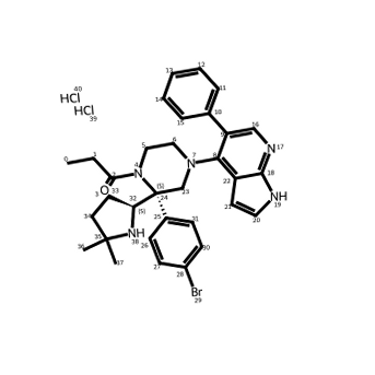 CCC(=O)N1CCN(c2c(-c3ccccc3)cnc3[nH]ccc23)C[C@@]1(c1ccc(Br)cc1)[C@@H]1CCC(C)(C)N1.Cl.Cl